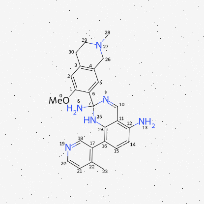 COc1cc2c(cc1C1(N)N=Cc3c(N)ccc(-c4cnccc4C)c3N1)CN(C)CC2